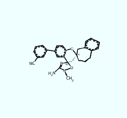 CN1O[C@@]2(C[C@]3(CCCc4ccccc4C3)Oc3ccc(-c4cccc(C#N)c4)cc32)N=C1N